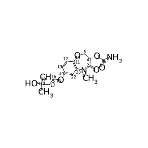 CN1C(=O)[C@@H](OC(N)=O)COc2ccc(OCCC(C)(C)O)cc21